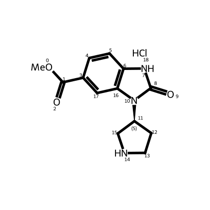 COC(=O)c1ccc2[nH]c(=O)n([C@H]3CCNC3)c2c1.Cl